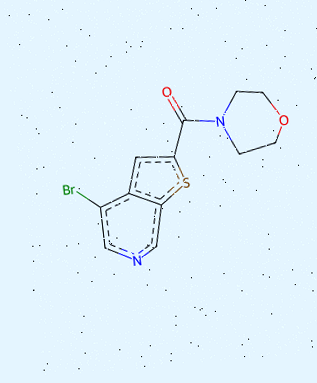 O=C(c1cc2c(Br)cncc2s1)N1CCOCC1